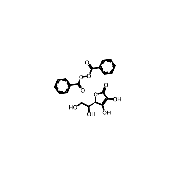 O=C(OOC(=O)c1ccccc1)c1ccccc1.O=C1O[C@H](C(O)CO)C(O)=C1O